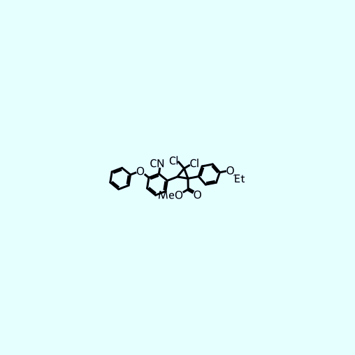 CCOc1ccc(C2(C(=O)OC)C(c3cccc(Oc4ccccc4)c3C#N)C2(Cl)Cl)cc1